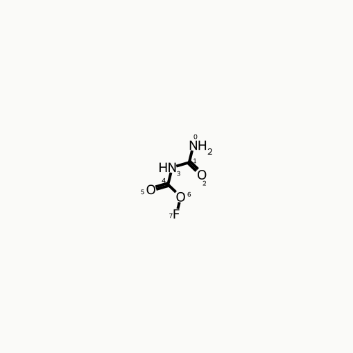 NC(=O)NC(=O)OF